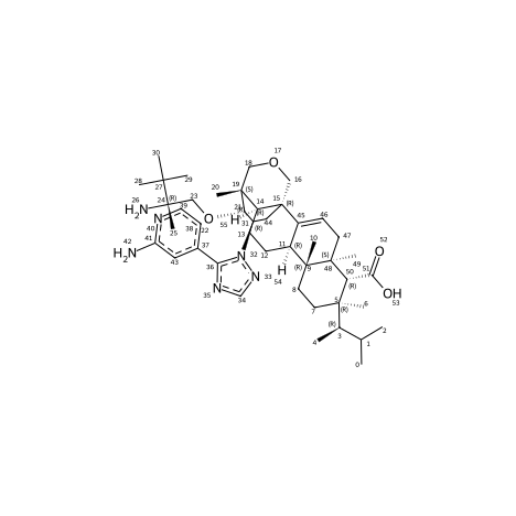 CC(C)[C@@H](C)[C@@]1(C)CC[C@]2(C)[C@H]3CC[C@@H]4[C@@]5(COC[C@@]4(C)[C@@H](OC[C@](C)(N)C(C)(C)C)[C@H](n4ncnc4-c4ccnc(N)c4)C5)C3=CC[C@@]2(C)[C@@H]1C(=O)O